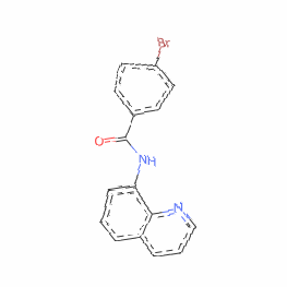 O=C(Nc1cccc2cccnc12)c1ccc(Br)cc1